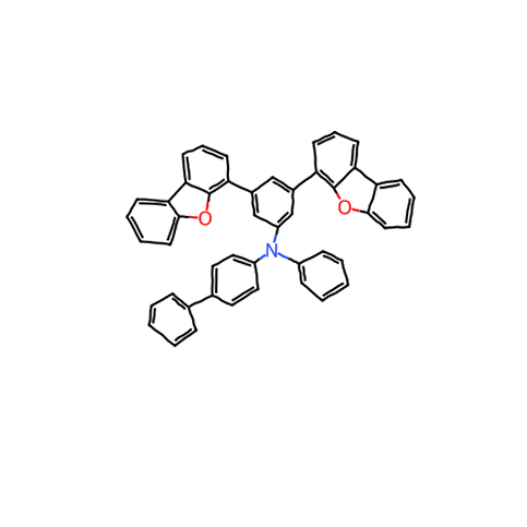 c1ccc(-c2ccc(N(c3ccccc3)c3cc(-c4cccc5c4oc4ccccc45)cc(-c4cccc5c4oc4ccccc45)c3)cc2)cc1